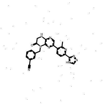 Cc1nc(-c2nnc[nH]2)ccc1-c1cnc2c(n1)N(Cc1cccc(C#N)c1)C(=O)CN2